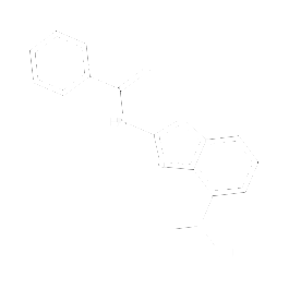 O=C(Nc1nc2c(B(O)O)cccc2s1)c1ccccc1